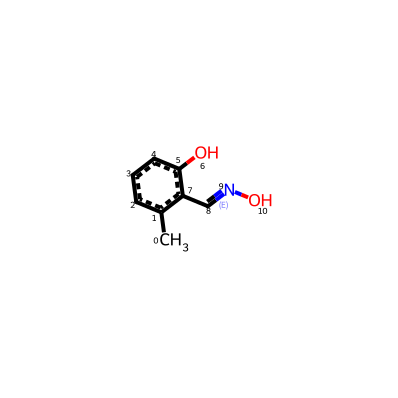 Cc1cccc(O)c1/C=N/O